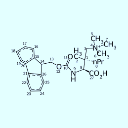 CCC[C@](C)(C[N+](C)(C)C)[C@H](NC(=O)OCC1c2ccccc2-c2ccccc21)C(=O)O